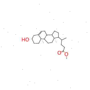 COC(=O)CCC(C)C1CCC2C3CC=C4C[C@@H](O)CC[C@]4(C)C3CC[C@]12C